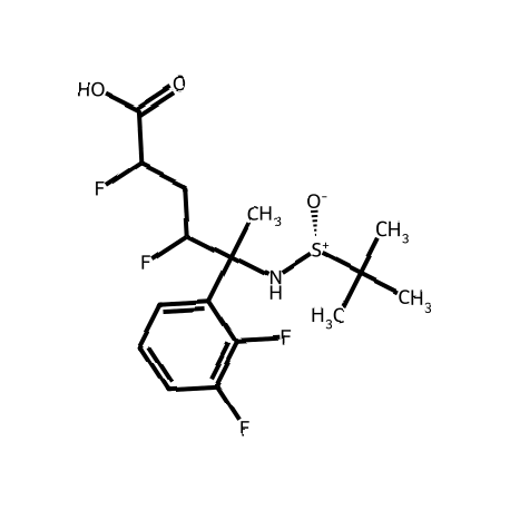 CC(N[S@+]([O-])C(C)(C)C)(c1cccc(F)c1F)C(F)CC(F)C(=O)O